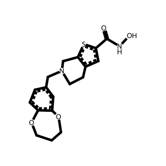 O=C(NO)c1cc2c(s1)CN(Cc1ccc3c(c1)OCCCO3)CC2